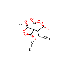 CCC(C(=O)[O-])C(C(=O)[O-])(C(=O)[O-])C(=O)[O-].[K+].[K+].[K+].[K+]